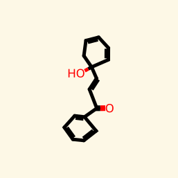 O=C(C=CC1(O)C=CC=CC1)c1ccccc1